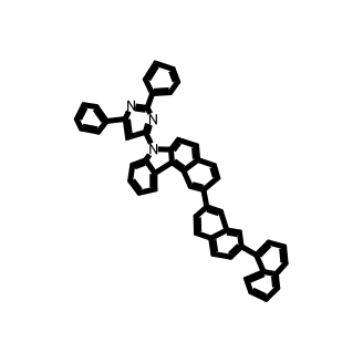 c1ccc(-c2cc(-n3c4ccccc4c4c5cc(-c6ccc7ccc(-c8cccc9ccccc89)cc7c6)ccc5ccc43)nc(-c3ccccc3)n2)cc1